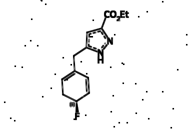 CCOC(=O)c1cc(CC2=CC[C@H](F)C=C2)[nH]n1